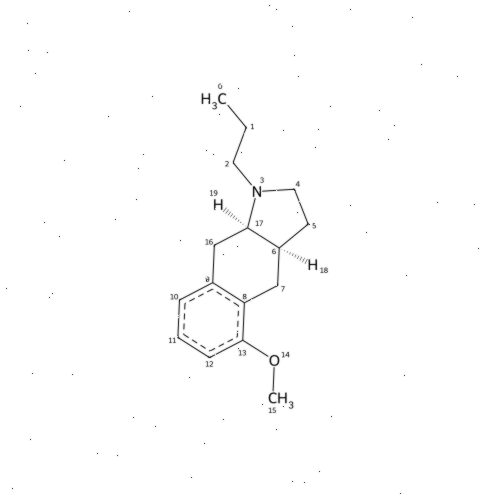 CCCN1CC[C@H]2Cc3c(cccc3OC)C[C@H]21